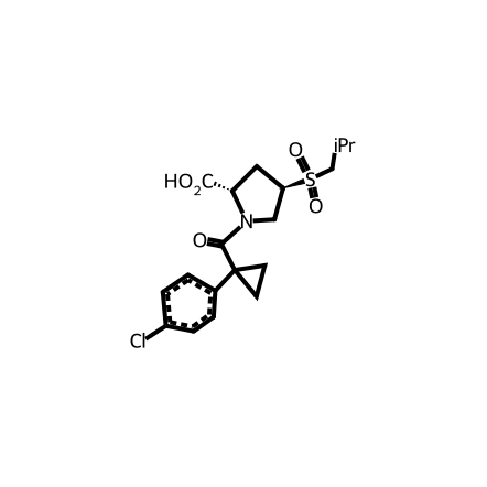 CC(C)CS(=O)(=O)[C@@H]1C[C@@H](C(=O)O)N(C(=O)C2(c3ccc(Cl)cc3)CC2)C1